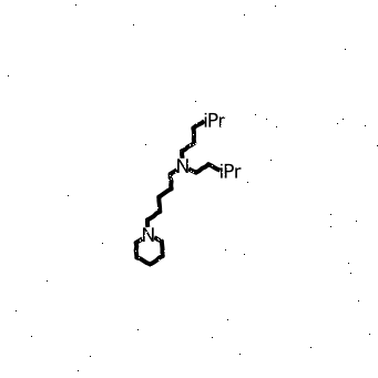 CC(C)CCCN(CCCCCN1CCCCC1)CCC(C)C